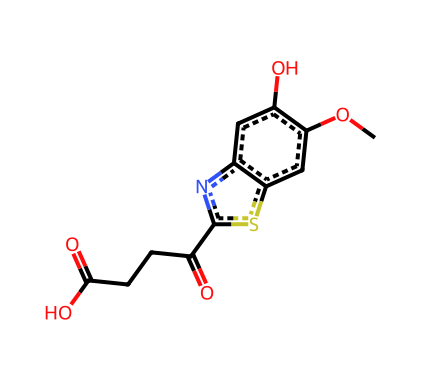 COc1cc2sc(C(=O)CCC(=O)O)nc2cc1O